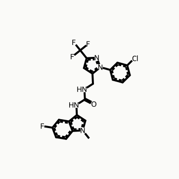 Cn1cc(NC(=O)NCc2cc(C(F)(F)F)nn2-c2cccc(Cl)c2)c2cc(F)ccc21